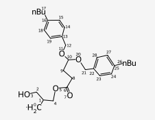 [CH2]C(CO)COC(=O)CCC(OCc1ccc(CCCC)cc1)OCc1ccc(CCCC)cc1